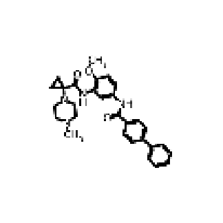 COc1ccc(NC(=O)c2ccc(-c3ccccc3)cc2)cc1NC(=O)C1(N2CCN(C)CC2)CC1